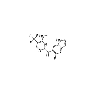 CNc1nc(Nc2cc3[nH]ncc3cc2F)ncc1C(F)(F)F